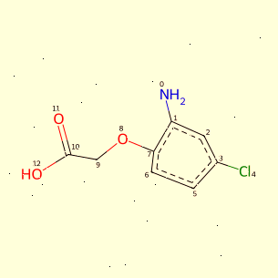 Nc1cc(Cl)ccc1OCC(=O)O